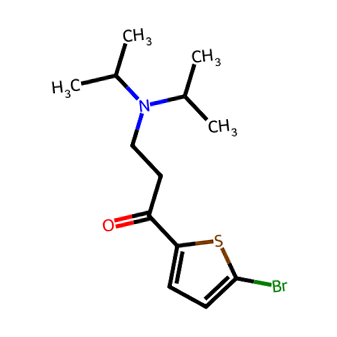 CC(C)N(CCC(=O)c1ccc(Br)s1)C(C)C